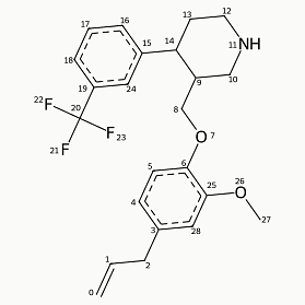 C=CCc1ccc(OCC2CNCCC2c2cccc(C(F)(F)F)c2)c(OC)c1